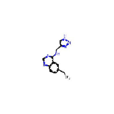 FC(F)(F)Cc1ccc2ncnc(NCc3c[nH]nn3)c2c1